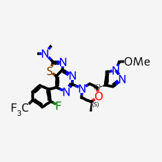 COCn1cc([C@H]2CN(c3nc(-c4ccc(C(F)(F)F)cc4F)c4sc(N(C)C)nc4n3)C[C@H](C)O2)cn1